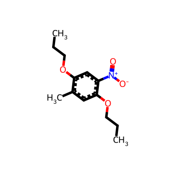 CCCOc1cc([N+](=O)[O-])c(OCCC)cc1C